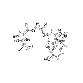 CC(C)C[C@H](NC(=O)[C@H](C)O)C(=O)O[C@@H](C)C(=O)OC1=CC[C@@]2(O)[C@H]3Cc4ccc(O)c5c4C2(CCN3C)C1O5